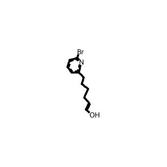 OC=CCCCCc1cccc(Br)n1